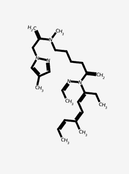 C=C(Cn1cc(C)cn1)N(C)CCCCC(=C)N(/N=C\C)/C(=C/C=C(C)\C=C/C)CC